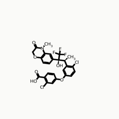 C[C@@H](c1cc(Oc2ccc(C(=O)O)c(Cl)c2)ccc1Cl)[C@](O)(c1ccc2c(c1)N(C)C(=O)CO2)C(F)(F)F